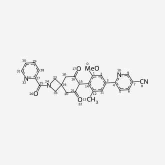 COc1cc(-c2ccc(C#N)cn2)cc(C)c1C1C(=O)CC2(CC1=O)CN(C(=O)c1ccccn1)C2